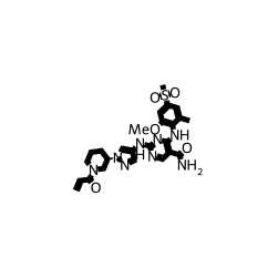 C=CC(=O)N1CCC[C@H](n2cc(Nc3ncc(C(N)=O)c(Nc4c(C)cc(S(C)(=O)=O)cc4OC)n3)cn2)C1